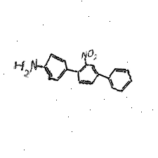 Nc1ccc(-c2ccc(-c3ccccc3)cc2[N+](=O)[O-])cc1